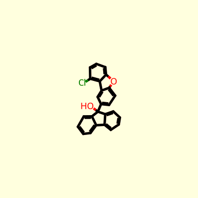 OC1(c2ccc3oc4cccc(Cl)c4c3c2)c2ccccc2-c2ccccc21